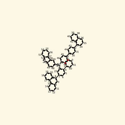 c1ccc(-c2ccc(-c3cc4ccccc4c4ccccc34)cc2N(c2ccc(-c3ccc(-c4cccc5ccccc45)cc3)cc2)c2ccc3sc4ccccc4c3c2)cc1